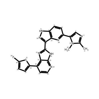 Cc1ncc(-c2ccc3[nH]nc(-c4nc5c(-c6ccc(F)s6)ccnc5[nH]4)c3n2)n1C